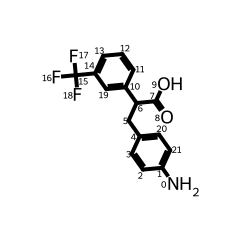 Nc1ccc(CC(C(=O)O)c2cccc(C(F)(F)F)c2)cc1